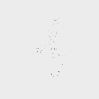 CCc1cc(Nc2nccn3c(-c4ccc(OC)c(F)c4F)cnc23)ccc1C(=O)N[C@@H](CNC(=O)C1CCN(CC2CN(C(=O)OC(C)(C)C)C2)CC1)C(=O)OC.O=C(O)C(F)(F)F.O=CO